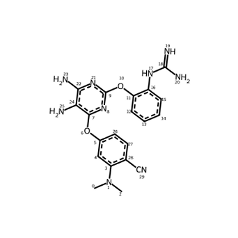 CN(C)c1cc(Oc2nc(Oc3ccccc3NC(=N)N)nc(N)c2N)ccc1C#N